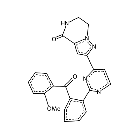 COc1ccccc1C(=O)c1ccccc1-c1nccc(-c2cc3n(n2)CCNC3=O)n1